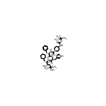 CC(C)(O)C[C@H](O)[C@H](CC1CCCCC1)NC(=O)[C@H](Cc1c[nH]cn1)NC(=O)[C@H](Cc1ccccc1)NC(=O)N1CCC(NC(=O)OC(C)(C)C)CC1